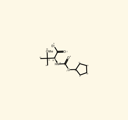 CCC(=O)[C@@H](NC(=O)OC1CCCC1)C(C)(C)OC